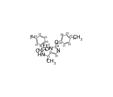 CCn1c(C(C)NS(=O)(=O)c2cccc(F)c2)cnc1Oc1ccc(C)cc1